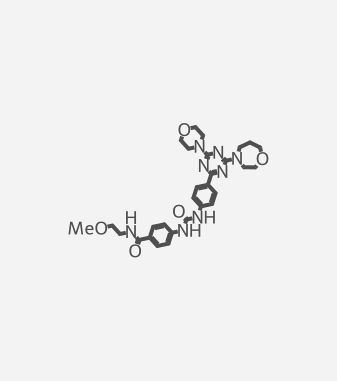 COCCNC(=O)c1ccc(NC(=O)Nc2ccc(-c3nc(N4CCCOCC4)nc(N4CCOCC4)n3)cc2)cc1